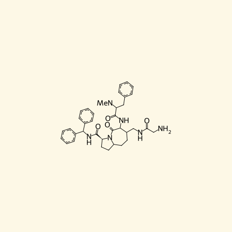 CNC(Cc1ccccc1)C(=O)NC1C(=O)N2C(CCC1CNC(=O)CN)CC[C@H]2C(=O)NC(c1ccccc1)c1ccccc1